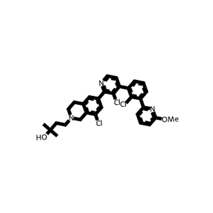 COc1cccc(-c2cccc(-c3ccnc(-c4cc(Cl)c5c(c4)CCN(CCC(C)(C)O)C5)c3Cl)c2Cl)n1